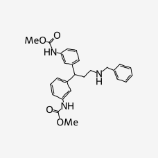 COC(=O)Nc1cccc(C(CCNCc2ccccc2)c2cccc(NC(=O)OC)c2)c1